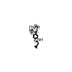 CN1C(=N)N[C@](C)(c2cc3[nH]c(CC4CC4)nc3cc2F)CS1(=O)=O